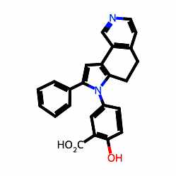 O=C(O)c1cc(-n2c(-c3ccccc3)cc3c2CCc2ccncc2-3)ccc1O